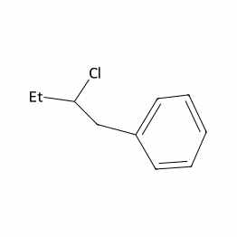 CCC(Cl)Cc1ccccc1